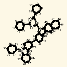 c1ccc(-c2nc(-c3ccccc3)nc(-n3c4cc(-c5ccc6c(c5)c5ccccc5n6-c5ccccc5)ccc4c4cc5ccccc5cc43)n2)cc1